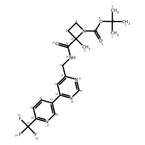 CC(C)(C)OC(=O)N1CCC1(C)C(=O)NCc1cc(-c2ccc(C(F)(F)F)nc2)ncn1